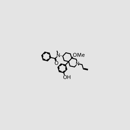 C=CCN1CCC2(c3cccc(O)c3)C[C@H](N(C)C(=O)c3ccccc3)CCC2(OC)C1